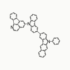 c1ccc(-n2c3ccc(-c4ccc5c(c4)c4ccccc4n5-c4cc5c6c(nccc6c4)-c4ccccc4-5)cc3c3cc4ccccc4cc32)cc1